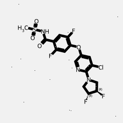 CS(=O)(=O)NC(=O)c1cc(F)c(Oc2cnc(N3C[C@@H](F)[C@H](F)C3)c(Cl)c2)cc1F